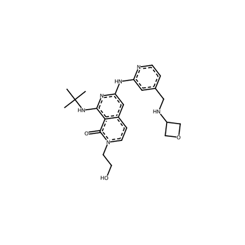 CC(C)(C)Nc1nc(Nc2cc(CNC3COC3)ccn2)cc2ccn(CCO)c(=O)c12